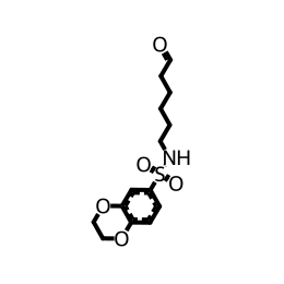 O=CCCCCCNS(=O)(=O)c1ccc2c(c1)OCCO2